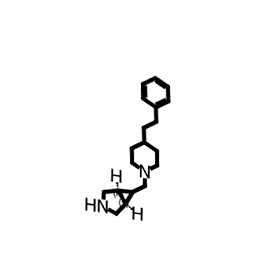 c1ccc(CCC2CCN(CC3[C@H]4CNC[C@@H]34)CC2)cc1